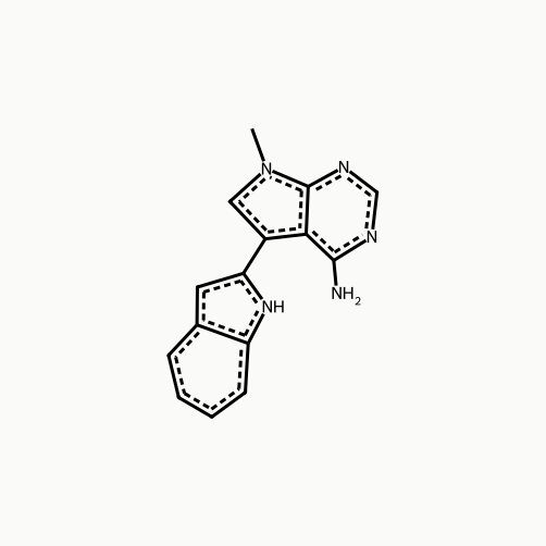 Cn1cc(-c2cc3ccccc3[nH]2)c2c(N)ncnc21